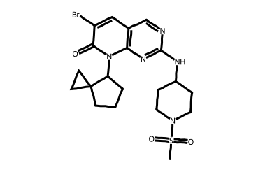 CS(=O)(=O)N1CCC(Nc2ncc3cc(Br)c(=O)n(C4CCCC45CC5)c3n2)CC1